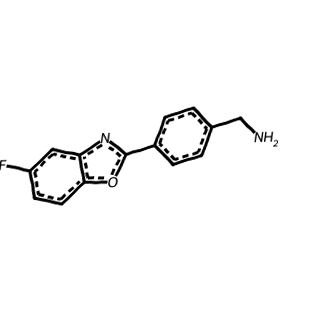 NCc1ccc(-c2nc3cc(F)ccc3o2)cc1